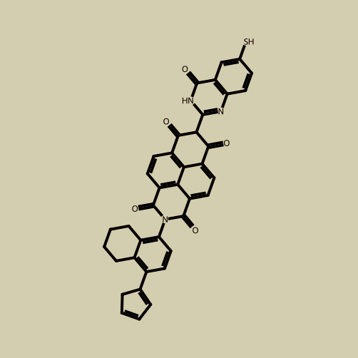 O=C1c2ccc3c4c(ccc(c24)C(=O)C1c1nc2ccc(S)cc2c(=O)[nH]1)C(=O)N(c1ccc(C2=CC=CC2)c2c1CCCC2)C3=O